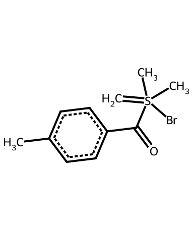 C=S(C)(C)(Br)C(=O)c1ccc(C)cc1